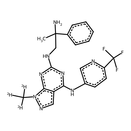 [2H]C([2H])([2H])n1ncc2c(Nc3ccc(C(F)(F)F)nc3)nc(NCC(C)(N)c3ccccc3)nc21